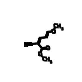 COC=CC=C(C#N)C(=O)OC